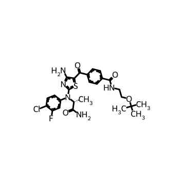 C[C@H](C(N)=O)N(c1ccc(Cl)c(F)c1)c1nc(N)c(C(=O)c2ccc(C(=O)NCCOC(C)(C)C)cc2)s1